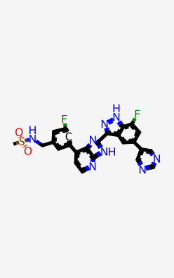 CS(=O)(=O)NCc1cc(F)cc(-c2ccnc3[nH]c(-c4n[nH]c5c(F)cc(-c6cncnc6)cc45)nc23)c1